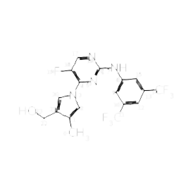 Cc1cn(-c2nc(Nc3cc(C(F)(F)F)cc(C(F)(F)F)c3)ncc2F)cc1CO